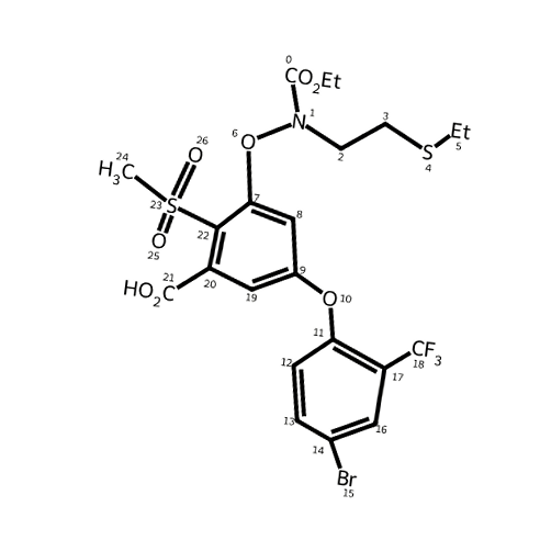 CCOC(=O)N(CCSCC)Oc1cc(Oc2ccc(Br)cc2C(F)(F)F)cc(C(=O)O)c1S(C)(=O)=O